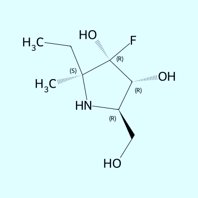 CC[C@]1(C)N[C@H](CO)[C@@H](O)[C@]1(O)F